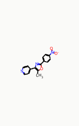 Cc1oc(-c2ccc([N+](=O)[O-])cc2)nc1-c1ccncc1